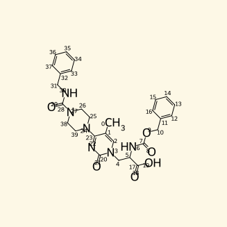 Cc1cn(CC(NC(=O)OCc2ccccc2)C(=O)O)c(=O)nc1N1CCN(C(=O)NCc2ccccc2)CC1